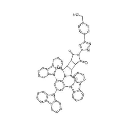 O=C1C2C(C(=O)N1c1nnc(-c3ccc(CO)cc3)o1)C1C(=O)N(c3c(-n4c5ccccc5c5ccccc54)cc(-n4c5ccccc5c5ccccc54)cc3-n3c4ccccc4c4ccccc43)C(=O)C21